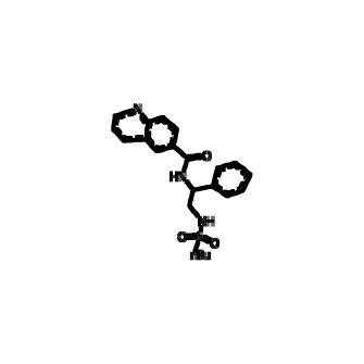 CCCCS(=O)(=O)NCC(NC(=O)c1ccc2ncccc2c1)c1ccccc1